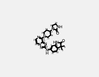 CC1(C)C(=O)Nc2cc(Nc3nc4c(N5CCC(N6CCNC6=O)CC5)nccn4n3)ccc21